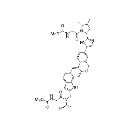 COC(=O)NCC(=O)N1C(c2ncc(-c3ccc4c(c3)COc3cc5c(ccc6nc(CN(C(=O)CNC(=O)OC)[C@@H](C)C(C)C)[nH]c65)cc3-4)[nH]2)CC(C)C1C